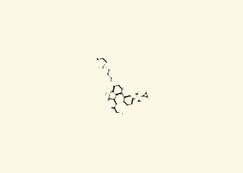 C=N/C=C\N(N)CCCOc1ccc(-c2cccc(S(=O)(=O)C3CC3)c2)c2/c(=C/C(C)=C\N)c(=C)[nH]c12